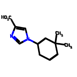 CC1(C)CCCC(n2cnc(C(=O)O)c2)C1